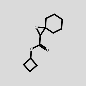 O=C(OC1CCC1)C1OC12CCCCC2